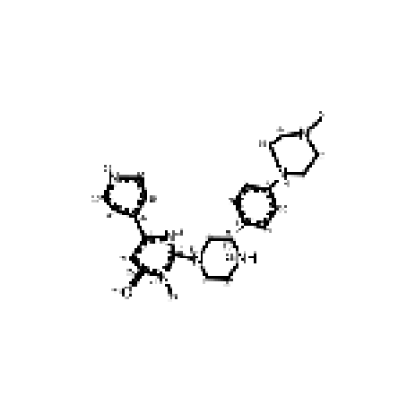 CN1CCN(c2ccc([C@H]3CN(c4nc(-c5ccncc5)cc(=O)n4C)CCN3)cc2)CC1